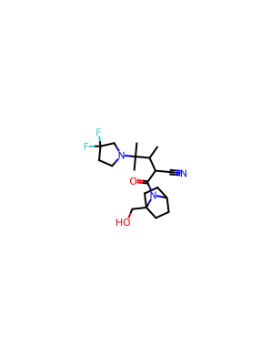 CC(C(C#N)C(=O)N1C2CCC1(CO)CC2)C(C)(C)N1CCC(F)(F)C1